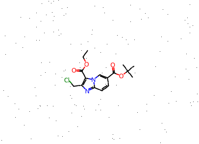 CCOC(=O)c1c(CCl)nc2ccc(C(=O)OC(C)(C)C)cn12